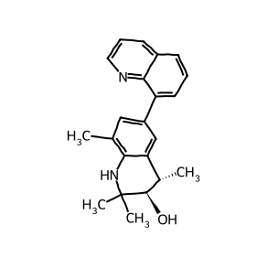 Cc1cc(-c2cccc3cccnc23)cc2c1NC(C)(C)[C@H](O)[C@H]2C